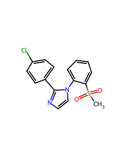 CS(=O)(=O)c1ccccc1-n1ccnc1-c1ccc(Cl)cc1